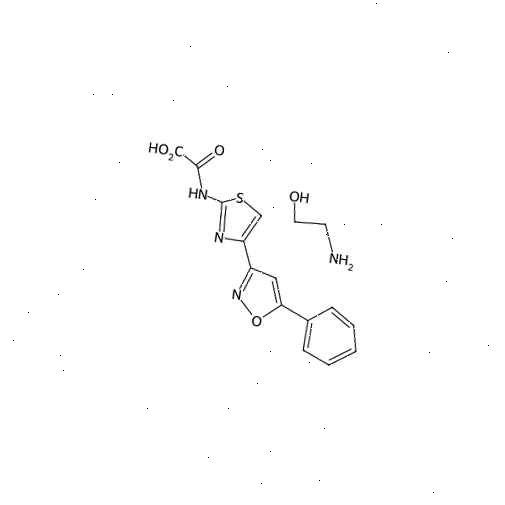 NCCO.O=C(O)C(=O)Nc1nc(-c2cc(-c3ccccc3)on2)cs1